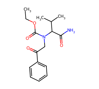 CCOC(=O)N(CC(=O)c1ccccc1)C(C(N)=O)C(C)C